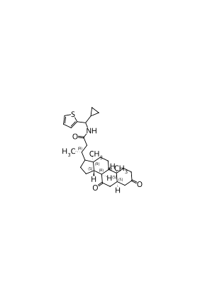 C[C@H](CC(=O)NC(c1cccs1)C1CC1)C1CC[C@H]2[C@@H]3C(=O)C[C@@H]4CC(=O)CC[C@]4(C)[C@H]3CC[C@]12C